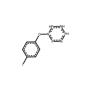 Ic1ccc(On2pn[pH][nH][pH]2)cc1